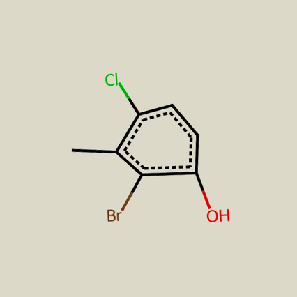 Cc1c(Cl)ccc(O)c1Br